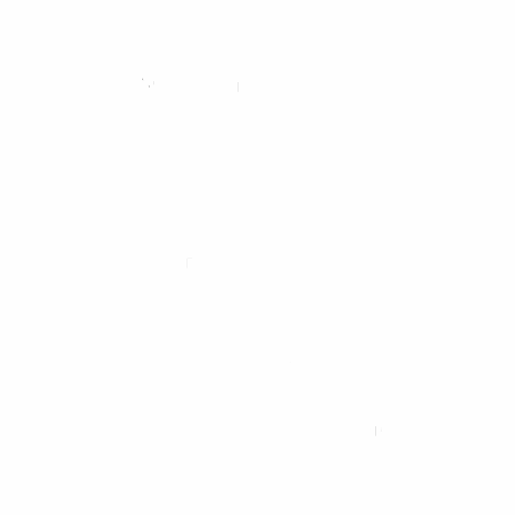 CCCCc1ccc2c(ccc3c(F)c(-c4cc(F)c(C#N)c(F)c4)c(F)cc32)c1